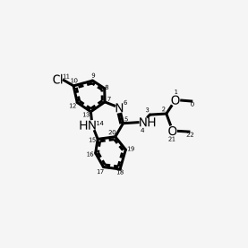 COC(CNC1=Nc2ccc(Cl)cc2Nc2ccccc21)OC